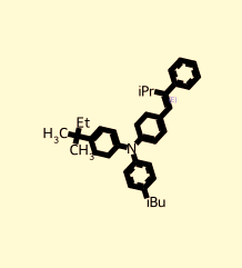 CCC(C)c1ccc(N(C2=CC=C(/C=C(/c3ccccc3)C(C)C)CC2)C2=CC=C(C(C)(C)CC)CC2)cc1